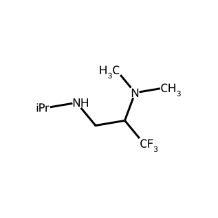 CC(C)NCC(N(C)C)C(F)(F)F